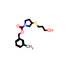 Cc1cccc(COC(=O)N2CCC(SCCCO)C2)c1